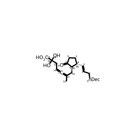 CCCCCCCCCCCC=C[C@H]1CCC(=O)[C@@H]1CC(C)=C=CCC(O)(O)C(=O)O